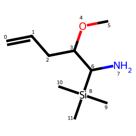 C=CCC(OC)C(N)[Si](C)(C)C